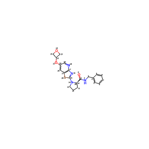 O=C(NCc1ccccc1)[C@H]1CCCN1c1nc2ncc(OC3COC3)cc2s1